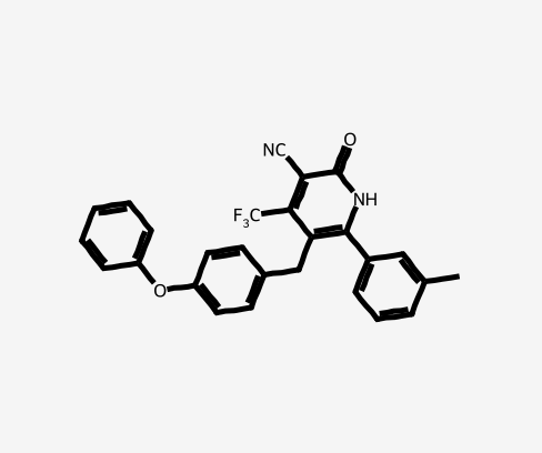 Cc1cccc(-c2[nH]c(=O)c(C#N)c(C(F)(F)F)c2Cc2ccc(Oc3ccccc3)cc2)c1